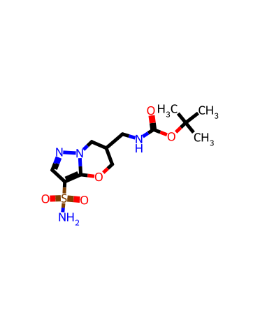 CC(C)(C)OC(=O)NCC1COc2c(S(N)(=O)=O)cnn2C1